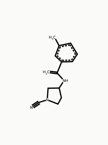 C=C(NC1CCN(C#N)C1)c1cccc(C)c1